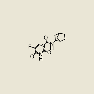 O=C(NC1CC2CCC1C2)n1cc(F)c(=O)[nH]c1=O